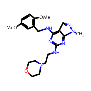 COc1ccc(OC)c(CNc2nc(NCCN3CCOCC3)nc3c2cnn3C)c1